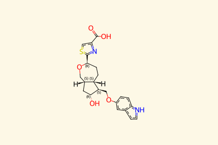 O=C(O)c1csc([C@H]2CC[C@H]3[C@@H](CO2)C[C@@H](O)[C@@H]3COc2ccc3[nH]ccc3c2)n1